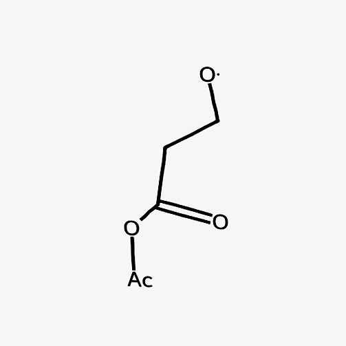 CC(=O)OC(=O)CC[O]